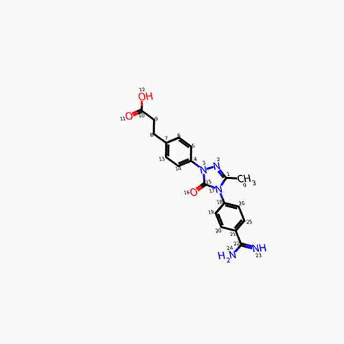 Cc1nn(-c2ccc(CCC(=O)O)cc2)c(=O)n1-c1ccc(C(=N)N)cc1